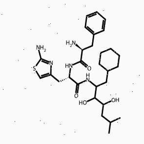 CC(C)CC(O)C(O)C(CC1CCCCC1)NC(=O)[C@H](Cc1csc(N)n1)NC(=O)[C@@H](N)Cc1ccccc1